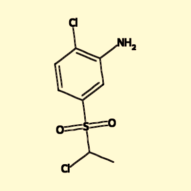 CC(Cl)S(=O)(=O)c1ccc(Cl)c(N)c1